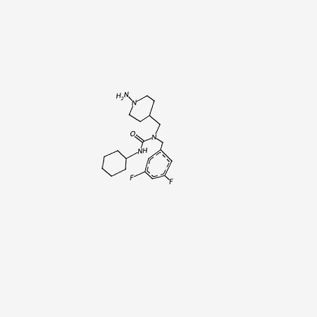 NN1CCC(CN(Cc2cc(F)cc(F)c2)C(=O)NC2CCCCC2)CC1